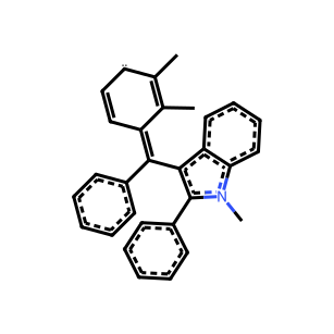 CC1=C(C)C(=C(c2ccccc2)c2c(-c3ccccc3)n(C)c3ccccc23)C=C[C]1